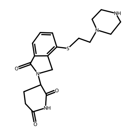 O=C1CCC(N2Cc3c(SCCN4CCNCC4)cccc3C2=O)C(=O)N1